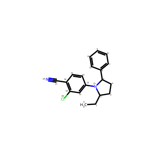 CCC1CCC(c2ccccc2)N1c1ccc(C#N)c(Cl)c1